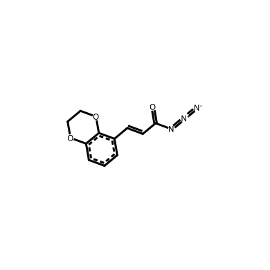 [N-]=[N+]=NC(=O)C=Cc1cccc2c1OCCO2